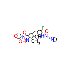 Cc1c(Cc2ccc(C(=O)NCCN3CCCC3)c(F)c2)cc2c(=O)n([C@H]3CCOC[C@@H]3O)cnc2c1C